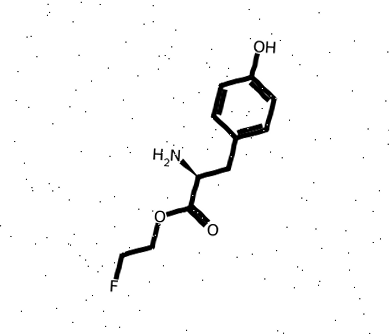 N[C@@H](Cc1ccc(O)cc1)C(=O)OCCF